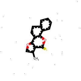 Cc1coc2c1c(=S)oc1c3ccccc3ccc21